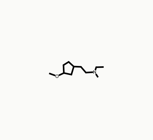 CCN(C)CCC1CCC(OC)C1